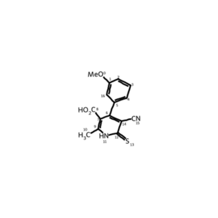 COc1cccc(-c2c(C(=O)O)c(C)[nH]c(=S)c2C#N)c1